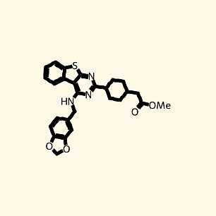 COC(=O)CC1CCC(c2nc(NCc3ccc4c(c3)OCO4)c3c(n2)sc2ccccc23)CC1